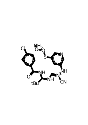 CC(C)(C)C(NC=[N+](C#N)Nc1cncc(SOON)c1)NC(=O)c1ccc(Cl)cc1